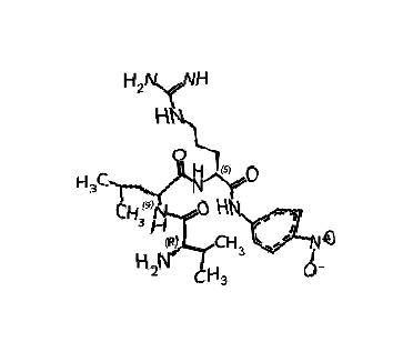 CC(C)C[C@H](NC(=O)[C@H](N)C(C)C)C(=O)N[C@@H](CCCNC(=N)N)C(=O)Nc1ccc([N+](=O)[O-])cc1